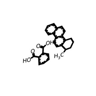 CC1CCCc2c1ccc1c2ccc2ccccc21.O=C(O)c1ccccc1C(=O)O